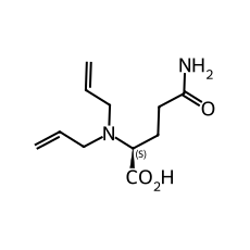 C=CCN(CC=C)[C@@H](CCC(N)=O)C(=O)O